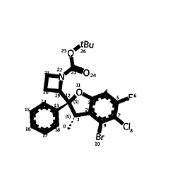 C[C@H]1c2c(cc(F)c(Cl)c2Br)O[C@@]1(c1ccccc1)C1CCN1C(=O)OC(C)(C)C